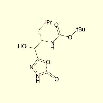 CC(C)C[C@H](NC(=O)OC(C)(C)C)C(O)c1n[nH]c(=O)o1